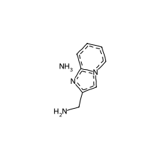 N.NCc1cn2ccccc2n1